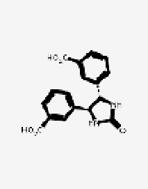 O=C1N[C@@H](c2cccc(C(=O)O)c2)[C@H](c2cccc(C(=O)O)c2)N1